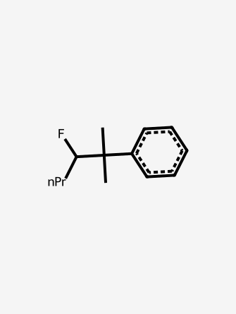 CCCC(F)C(C)(C)c1ccccc1